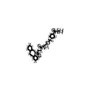 CC(C)(SSCCNC(=O)CCC(=O)N1Cc2ccccc2C#Cc2ccccc21)c1ccc(C(=O)NS)cc1